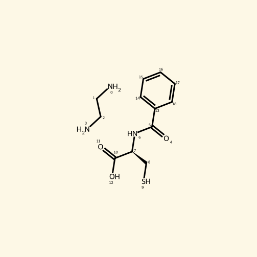 NCCN.O=C(N[C@@H](CS)C(=O)O)c1ccccc1